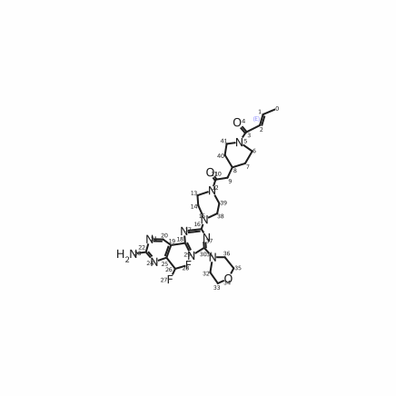 C/C=C/C(=O)N1CCC(CC(=O)N2CCN(c3nc(-c4cnc(N)nc4C(F)F)nc(N4CCOCC4)n3)CC2)CC1